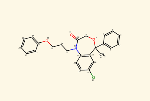 CC1(c2ccccc2)OCC(=O)N(CCCOc2ccccc2)c2ccc(Cl)cc21